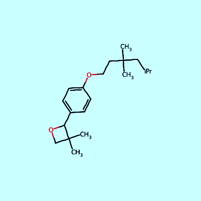 CC(C)CC(C)(C)CCOc1ccc(C2OCC2(C)C)cc1